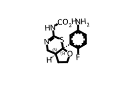 Nc1ccc(F)c([C@]23OCC[C@H]2CN=C(NC(=O)O)S3)c1